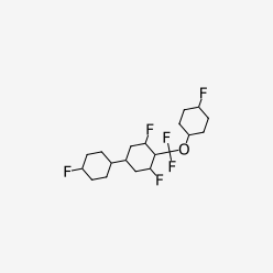 FC1CCC(OC(F)(F)C2C(F)CC(C3CCC(F)CC3)CC2F)CC1